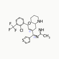 CC(=N)/N=C(\C(=C\C(=O)c1cccc(C(F)(F)F)c1Cl)CC1CCCCN1)c1ccsc1